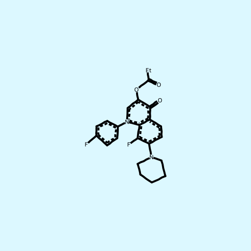 CCC(=O)Oc1cn(-c2ccc(F)cc2)c2c(F)c(N3CCCCC3)ccc2c1=O